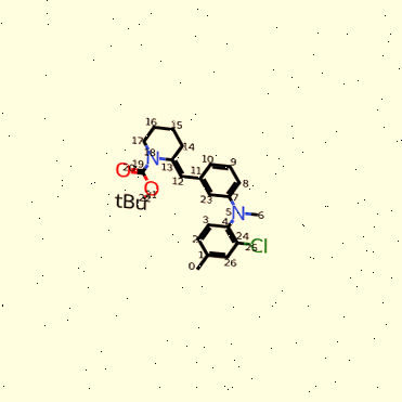 Cc1ccc(N(C)c2cccc(C=C3CCCCN3C(=O)OC(C)(C)C)c2)c(Cl)c1